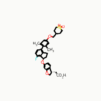 Cc1cc(OCC2CCS(=O)(=O)CC2)cc(C)c1-c1ccc(F)c2c1CC[C@H]2Oc1ccc2c(c1)OC[C@H]2CC(=O)O